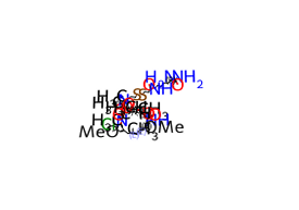 COc1cc2cc(c1Cl)N(C)C(=O)C[C@H](OC(=O)[C@H](C)N(C)C(=O)CCSSCCC(=O)NCCCC[C@@H](N)C(N)=O)[C@]1(C)C[C@H]1[C@H](C)[C@@H]1CC(NC(=O)O1)[C@H](OC)/C=C/C=C(\C)C2